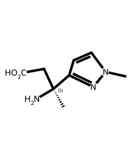 Cn1ccc([C@@](C)(N)CC(=O)O)n1